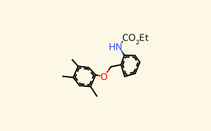 CCOC(=O)Nc1ccccc1COc1cc(C)c(C)cc1C